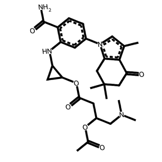 CC(=O)OC(CC(=O)OC1CC1Nc1cc(-n2cc(C)c3c2CC(C)(C)CC3=O)ccc1C(N)=O)CN(C)C